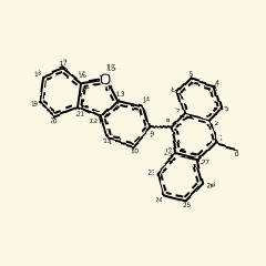 Cc1c2ccccc2c(-c2ccc3c(c2)oc2ccccc23)c2ccccc12